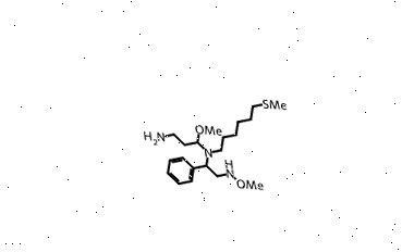 CONCC(c1ccccc1)N(CCCCCCSC)C(CCN)OC